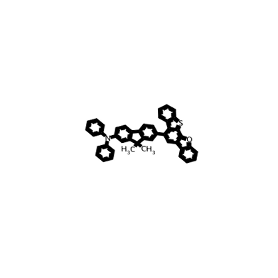 CC1(C)c2cc(-c3cc4c5ccccc5oc4c4sc5ccccc5c34)ccc2-c2ccc(N(c3ccccc3)c3ccccc3)cc21